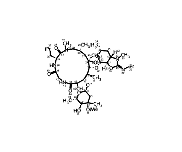 CO[C@]1(C)C[C@H](O[C@H]2[C@H](C)[C@@H](O[C@@H]3O[C@H](C)C[C@H]4[C@H]3O/C(=N/C(C)C)N4C)[C@](C)(O)C[C@@H](C)CN(C)C(=O)[C@H](CC(C)C)NC(=O)CNC(=O)[C@@H]2C)O[C@@H](C)[C@@H]1O